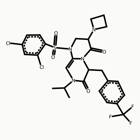 CC(C)N1C=C2N(C(=O)C(N3CCC3)CN2S(=O)(=O)c2ccc(Cl)cc2Cl)C(Cc2ccc(C(F)(F)F)cc2)C1=O